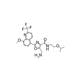 COc1ccc(-c2nc(C(=O)NCCOC(C)C)c(CN)o2)c2ccc(C(F)(F)F)nc12